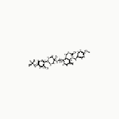 COc1ccc(CN2C(=O)CCc3c(NCC4(O)CCN(c5ccc(OC(F)(F)F)cc5Cl)CC4)ccc(F)c32)cc1